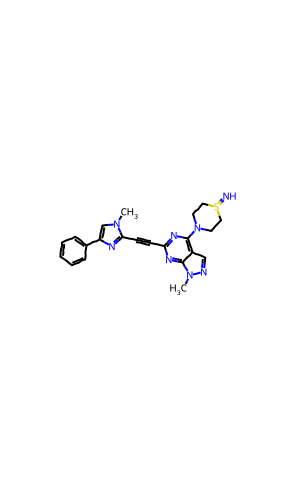 Cn1cc(-c2ccccc2)nc1C#Cc1nc(N2CCS(=N)CC2)c2cnn(C)c2n1